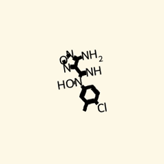 Cc1cc(N(O)C(=N)c2nonc2N)ccc1Cl